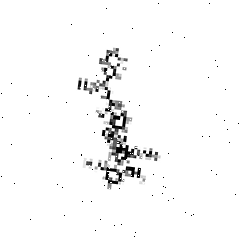 COc1cc(-c2c(C)cccc2C)nc(NS(=O)(=O)c2cccc(C(=O)NCCN(C)C3CC4(CCCCC4)C3)c2)n1